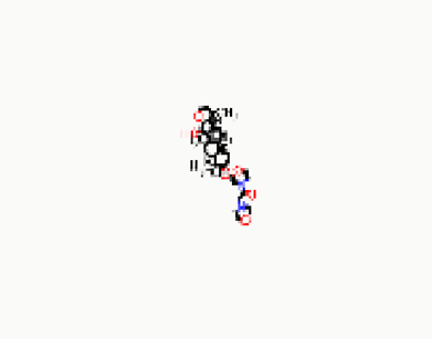 C[C@@H]1CCOC2[C@H]1C1(C)CCC34CC35CCC(OC3CN(C(=O)CN6CCOCC6)CCO3)C(C)(C)[C@@H]5CCC4[C@]1(C)[C@H]2O